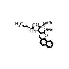 C=CCOC(=O)N[C@H](C(=O)OOC(C)(C)C)[C@@H](Cc1ccc2ccccc2c1)C(=O)OC